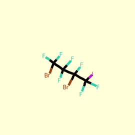 FC(F)(Br)C(F)(F)C(F)(Br)C(F)(F)I